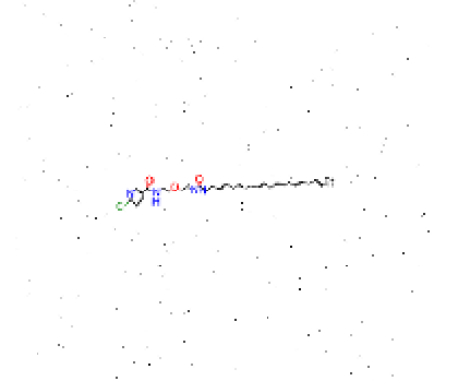 CCC=CCC=CCC=CCC=CCC=CCC=CCCC(=O)NCCOCCNC(=O)c1ccc(Cl)nc1